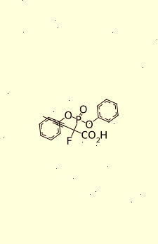 CC#CC(F)(C(=O)O)P(=O)(Oc1ccccc1)Oc1ccccc1